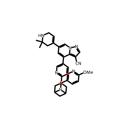 COc1ccc(CN2C3CC2CN(c2ccc(-c4cc(C5=CCNC(C)(C)C5)cn5ncc(C#N)c45)cn2)C3)cn1